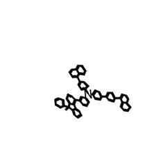 CC1(c2ccccc2)c2ccccc2-c2c(-c3cccc(N(c4ccc(-c5ccc(-c6cccc7ccccc67)cc5)cc4)c4ccc(-c5cccc6ccccc56)cc4)c3)cccc21